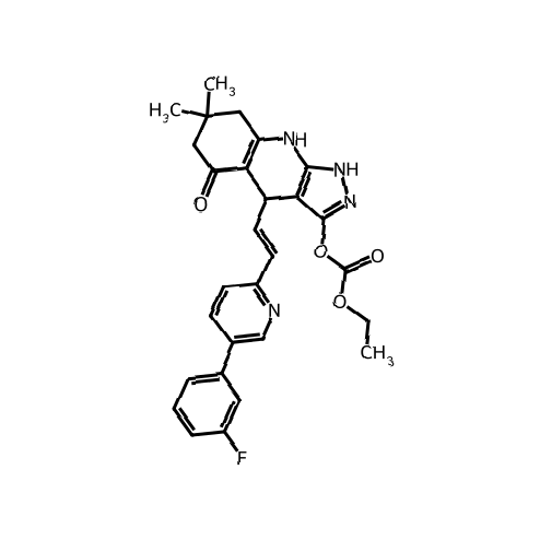 CCOC(=O)Oc1n[nH]c2c1C(/C=C/c1ccc(-c3cccc(F)c3)cn1)C1=C(CC(C)(C)CC1=O)N2